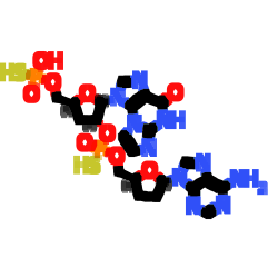 Nc1ncnc2c1ncn2[C@H]1CC[C@@H](COP(=O)(S)O[C@@H]2C[C@@H](COP(=O)(O)S)O[C@H]2n2cnc3c(=O)[nH]c4nccn4c32)O1